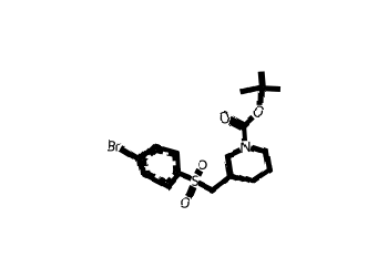 CC(C)(C)OC(=O)N1CCCC(CS(=O)(=O)c2ccc(Br)cc2)C1